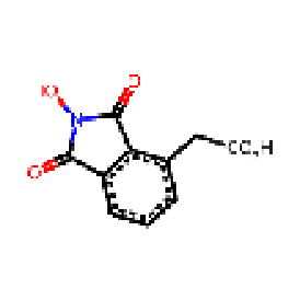 O=C(O)Cc1cccc2c1C(=O)N(O)C2=O